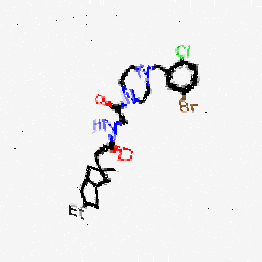 CCC1CC2CC(C)(CC(=O)NCC(=O)N3CCN(Cc4cc(Br)ccc4Cl)CC3)CC2C1